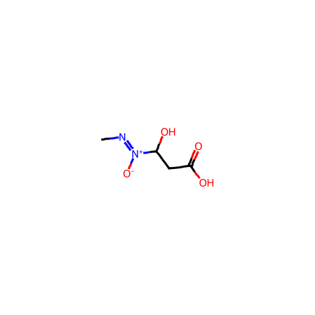 C/N=[N+](\[O-])C(O)CC(=O)O